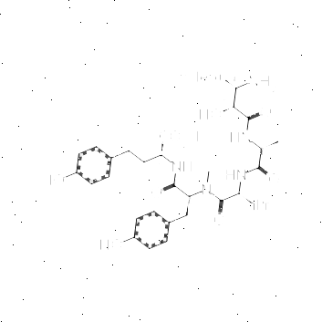 CCCCCCC[C@@H](N)[C@H](O)C(=O)N[C@@H](C)C(=O)N[C@H](C(=O)N(C)[C@@H](Cc1ccc(O)cc1)C(=O)N[C@@H](CCc1ccc(O)cc1)C(=O)O)C(C)C